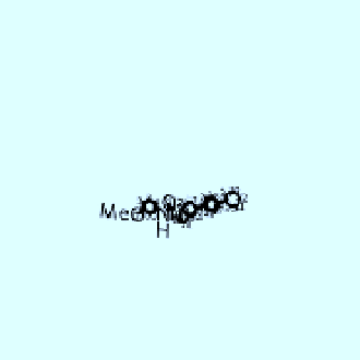 COc1cccc(NC(=O)N2CCc3cc(-c4ccc(C5CCCCC5)cc4)ccc32)c1